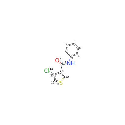 O=C(Nc1ccccc1)c1cscc1Cl